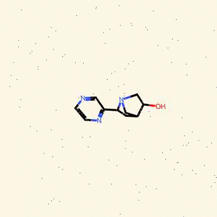 OC1CN2CC1CC2c1cnccn1